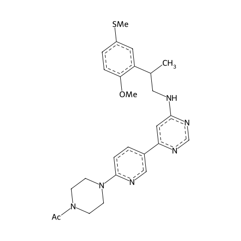 COc1ccc(SC)cc1C(C)CNc1cc(-c2ccc(N3CCN(C(C)=O)CC3)nc2)ncn1